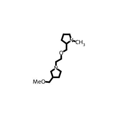 COCC1CCN(CCOCC2CCCN2C)C1